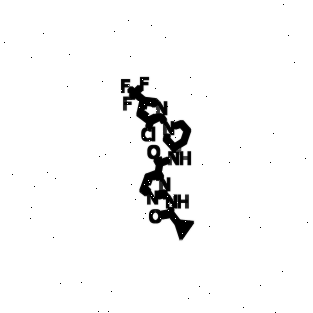 O=C(N[C@@H]1CCCN(c2ncc(C(F)(F)F)cc2Cl)C1)c1ccnc(NC(=O)C2CC2)n1